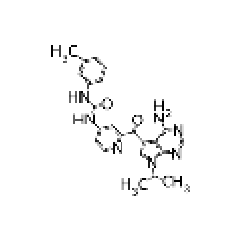 Cc1cccc(NC(=O)Nc2ccnc(C(=O)c3cn(C(C)C)c4ncnc(N)c34)c2)c1